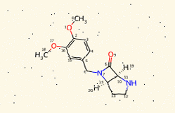 COc1ccc(CN2C(=O)[C@H]3NCC[C@H]32)cc1OC